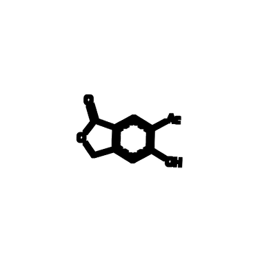 CC(=O)c1cc2c(cc1O)COC2=O